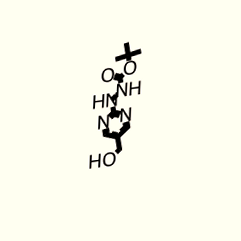 CC(C)(C)OC(=O)NNc1ncc(CO)cn1